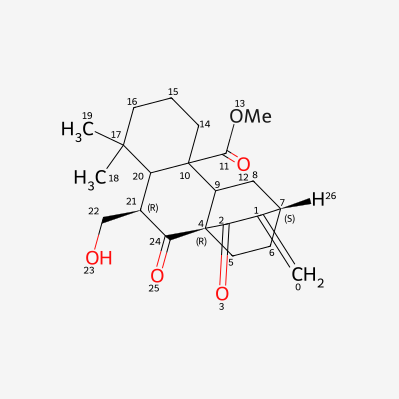 C=C1C(=O)[C@]23CC[C@H]1CC2C1(C(=O)OC)CCCC(C)(C)C1[C@H](CO)C3=O